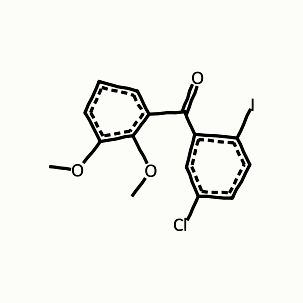 COc1cccc(C(=O)c2cc(Cl)ccc2I)c1OC